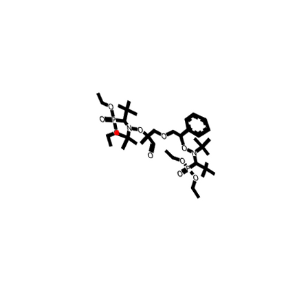 CCOP(=O)(OCC)C(N(OC(COCC(C)(C=O)ON(C(C(C)(C)C)P(=O)(OCC)OCC)C(C)(C)C)c1ccccc1)C(C)(C)C)C(C)(C)C